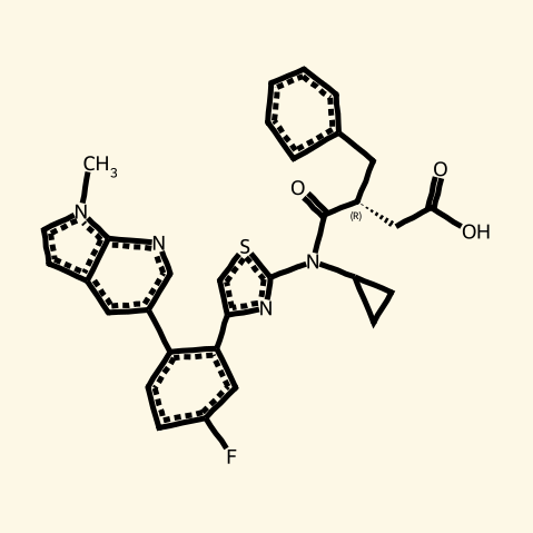 Cn1ccc2cc(-c3ccc(F)cc3-c3csc(N(C(=O)[C@@H](CC(=O)O)Cc4ccccc4)C4CC4)n3)cnc21